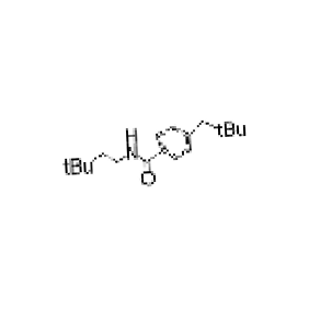 CC(C)(C)CCNC(=O)c1ccc(CC(C)(C)C)cc1